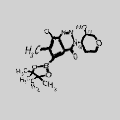 Cc1c(B2OC(C)(C)C(C)(C)O2)cc2c(=O)n([C@H]3CCOC[C@@H]3O)nnc2c1Cl